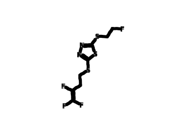 FCCSc1nnc(SCCC(F)=C(F)F)s1